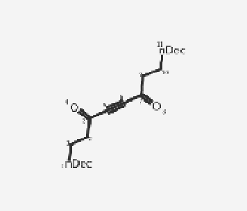 CCCCCCCCCCCCC(=O)C#CC(=O)CCCCCCCCCCCC